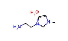 CN1C=CN(CCN)C1.O